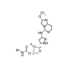 CC(C)NC(=O)O[C@H]1CO[C@@H](c2cc(Nc3nccc4nc(OC(F)(F)F)cn34)n[nH]2)[C@@H]1F